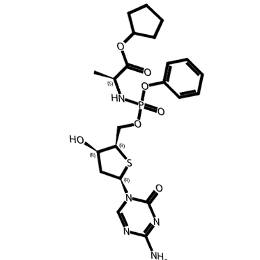 C[C@H](NP(=O)(OC[C@H]1S[C@@H](n2cnc(N)nc2=O)C[C@H]1O)Oc1ccccc1)C(=O)OC1CCCC1